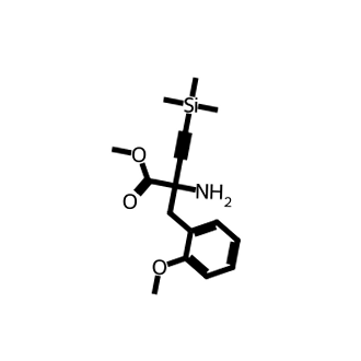 COC(=O)C(N)(C#C[Si](C)(C)C)Cc1ccccc1OC